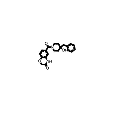 O=C1COc2ccc(C(=O)N3CCC(O)(Cc4ccccc4)CC3)cc2N1